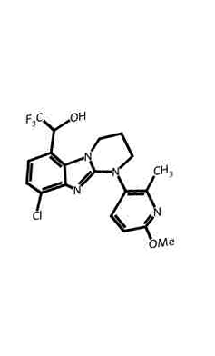 COc1ccc(N2CCCn3c2nc2c(Cl)ccc(C(O)C(F)(F)F)c23)c(C)n1